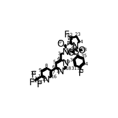 O=C(NCc1cc(-c2ccc(C(F)(F)F)nc2)ncn1)[C@@H]1[C@H](F)CCN1S(=O)(=O)c1ccc(F)cc1